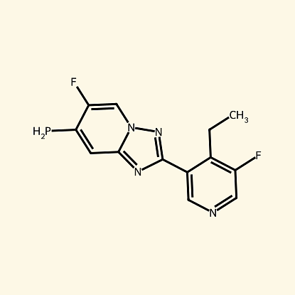 CCc1c(F)cncc1-c1nc2cc(P)c(F)cn2n1